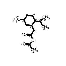 CC(=O)OC(=O)CC1CC(C)CCC1C(C)C